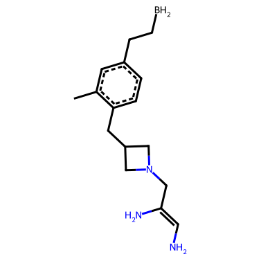 BCCc1ccc(CC2CN(C/C(N)=C/N)C2)c(C)c1